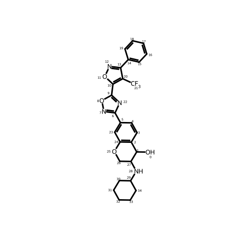 OC1c2ccc(-c3noc(-c4onc(-c5ccccc5)c4C(F)(F)F)n3)cc2OCC1NC1CCCCC1